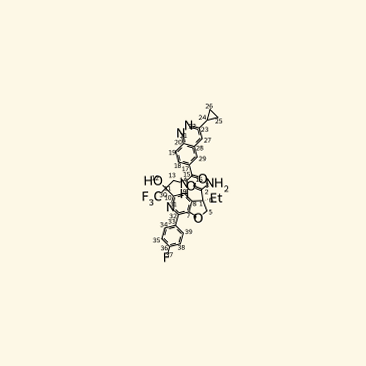 CC[C@]1(C(N)=O)COc2c1cc(C(O)(CNC(=O)c1ccc3nnc(C4CC4)cc3c1)C(F)(F)F)nc2-c1ccc(F)cc1